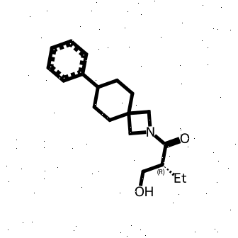 CC[C@H](CO)C(=O)N1CC2(CCC(c3ccccc3)CC2)C1